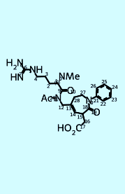 CN[C@@H](CCCNC(=N)N)C(=O)N(CC1=CC(CC(=O)O)C(=O)N(c2ccccc2)CC1)C(C)=O